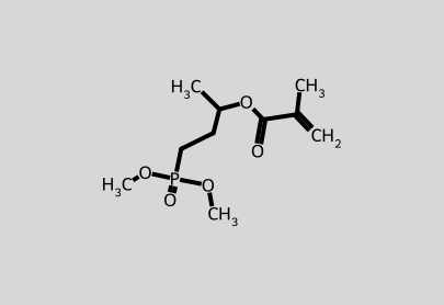 C=C(C)C(=O)OC(C)CCP(=O)(OC)OC